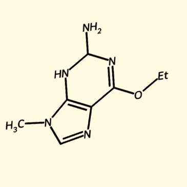 CCOC1=NC(N)Nc2c1ncn2C